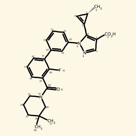 C[C@H]1C=C1c1c(C(=O)O)cnn1-c1cccc(-c2cccc(C(=O)N3CCCC(C)(C)C3)c2F)c1